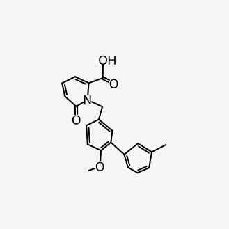 COc1ccc(Cn2c(C(=O)O)cccc2=O)cc1-c1cccc(C)c1